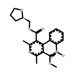 COC(=O)c1c(C)nc(C)c(C(=O)OC[C@H]2CCCO2)c1-c1ccccc1[N+](=O)[O-]